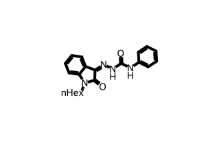 CCCCCCN1C(=O)/C(=N\NC(=O)Nc2ccccc2)c2ccccc21